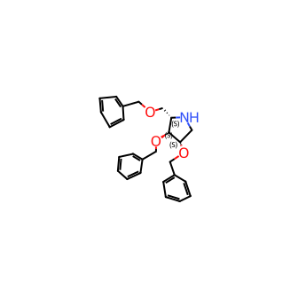 c1ccc(COC[C@@H]2NC[C@H](OCc3ccccc3)[C@H]2OCc2ccccc2)cc1